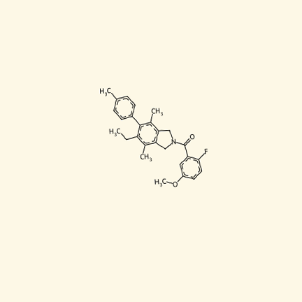 CCc1c(C)c2c(c(C)c1-c1ccc(C)cc1)CN(C(=O)c1cc(OC)ccc1F)C2